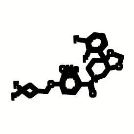 COc1cc(C(=O)N2CCC3(c4cccc(F)c4F)OCOC3C2)ccc1OCC1CC(F)(F)C1